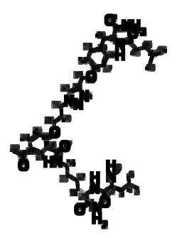 CN[C@@H](CC(C)C)C(=O)N[C@@H](CCCCNC(=O)c1cc(C(C)=O)ccc1OCCCn1cc(COc2ccc(C[C@H](NC(=O)CCC(C)C)C(N)=O)cc2)nn1)C(N)=O